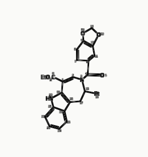 CCOC(=O)C1=CN(C(=O)c2ccc3c(c2)OCO3)C(CC)Cc2c1[nH]c1ccccc21